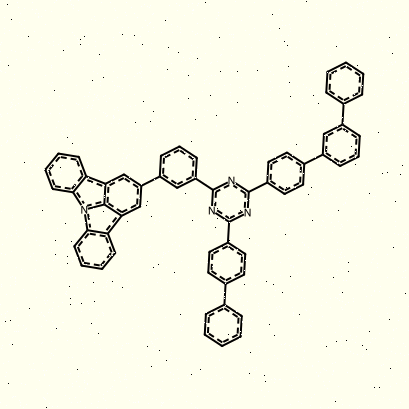 c1ccc(-c2ccc(-c3nc(-c4ccc(-c5cccc(-c6ccccc6)c5)cc4)nc(-c4cccc(-c5cc6c7ccccc7n7c8ccccc8c(c5)c67)c4)n3)cc2)cc1